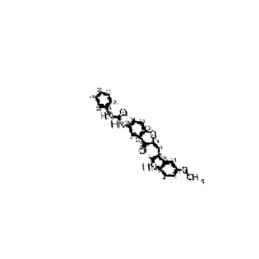 COc1ccc2[nH]cc(C=C3Oc4ccc(NC(=O)Nc5ccccc5)cc4C3=O)c2c1